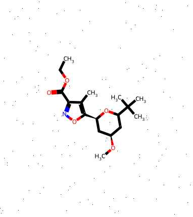 CCOC(=O)c1noc([C@@H]2C[C@H](OC)CC(C(C)(C)C)O2)c1C